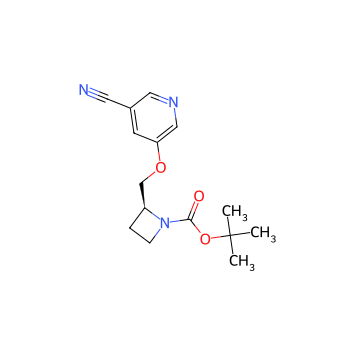 CC(C)(C)OC(=O)N1CC[C@H]1COc1cncc(C#N)c1